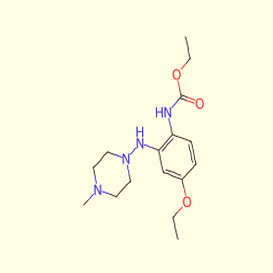 CCOC(=O)Nc1ccc(OCC)cc1NN1CCN(C)CC1